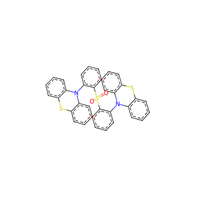 O=S(=O)(c1ccccc1N1c2ccccc2Sc2ccccc21)c1ccccc1N1c2ccccc2Sc2ccccc21